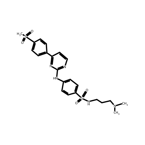 CN(C)CCCNS(=O)(=O)c1ccc(Nc2nccc(-c3ccc(S(C)(=O)=O)cc3)n2)cc1